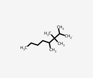 [CH2]C(C)C(C)(C)C(C)CCCC